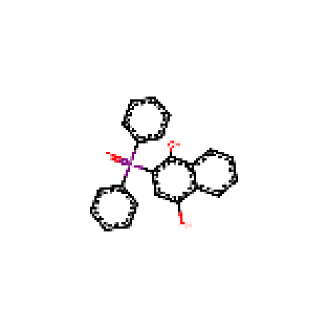 O=P(c1ccccc1)(c1ccccc1)c1cc(O)c2ccccc2c1O